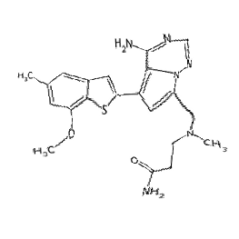 COc1cc(C)cc2cc(-c3cc(CN(C)CCC(N)=O)n4ncnc(N)c34)sc12